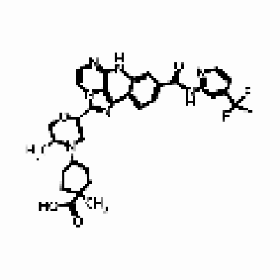 C[C@H]1CO[C@@H](c2nc3c4c(nccn24)Nc2cc(C(=O)Nc4cc(C(F)(F)F)ccn4)ccc2-3)CN1[C@H]1CC[C@@](C)(C(=O)O)CC1